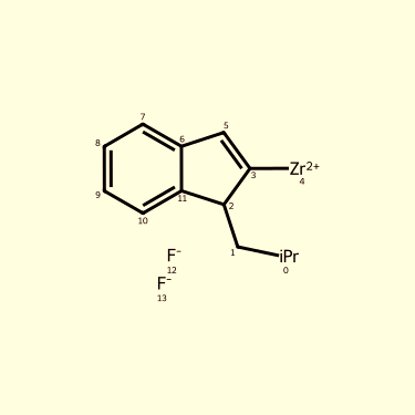 CC(C)CC1[C]([Zr+2])=Cc2ccccc21.[F-].[F-]